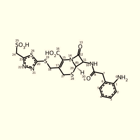 Nc1ccccc1CC(=O)NC1C(=O)N2C(C(=O)O)=C(CSc3nnc(CS(=O)(=O)O)s3)CS[C@H]12